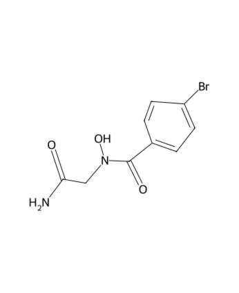 NC(=O)CN(O)C(=O)c1ccc(Br)cc1